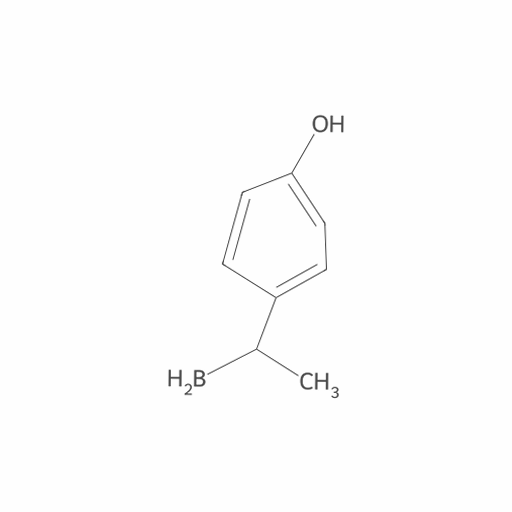 BC(C)c1ccc(O)cc1